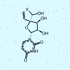 C=C[C@]1(C(O)F)O[C@@H](n2ccc(=O)[nH]c2=O)[C@H](O)[C@@H]1O